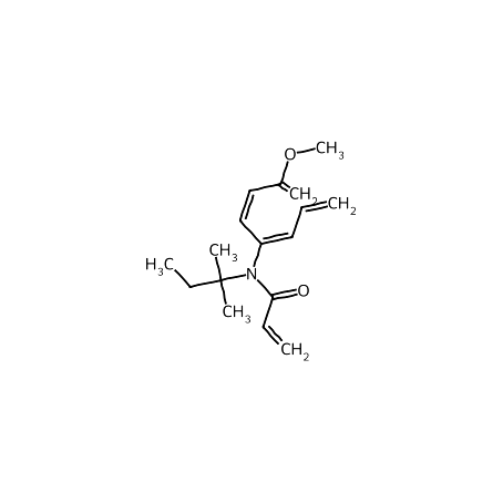 C=C/C=C(\C=C/C(=C)OC)N(C(=O)C=C)C(C)(C)CC